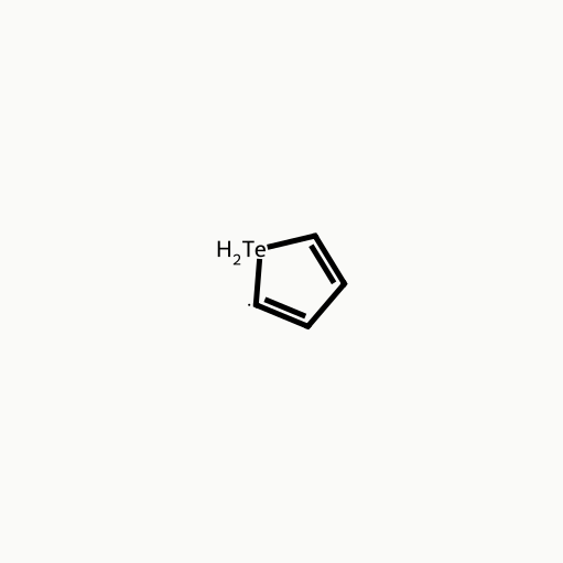 [C]1=CC=C[TeH2]1